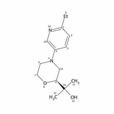 CCc1ccc(N2CCO[C@H](C(C)(C)O)C2)cn1